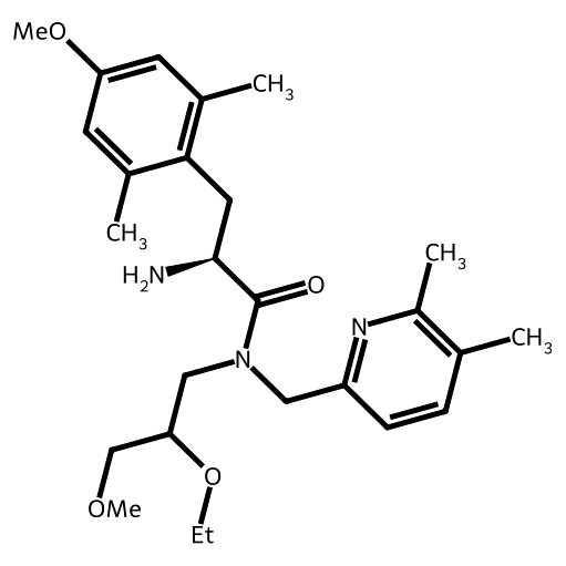 CCOC(COC)CN(Cc1ccc(C)c(C)n1)C(=O)[C@@H](N)Cc1c(C)cc(OC)cc1C